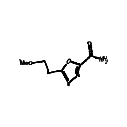 COCCc1nnc(C(N)=O)o1